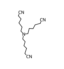 N#CCCCCCN(CCCCCC#N)CCCCCC#N